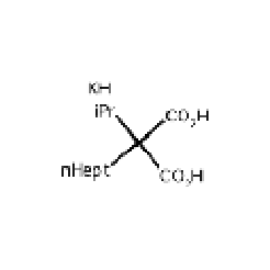 CCCCCCCC(C(=O)O)(C(=O)O)C(C)C.[KH]